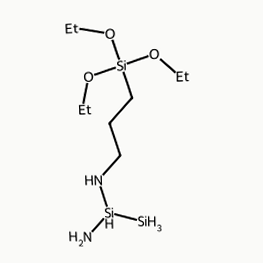 CCO[Si](CCCN[SiH](N)[SiH3])(OCC)OCC